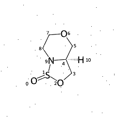 O=S1OC[C@@H]2COCCN21